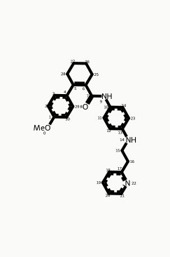 COc1ccc(C2=C(C(=O)Nc3ccc(NCCc4ccccn4)cc3)CCCC2)cc1